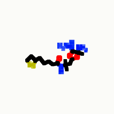 CC(C)(CCOC(C)(N)C(=O)NN)NC(=O)CCCCC1CCSS1